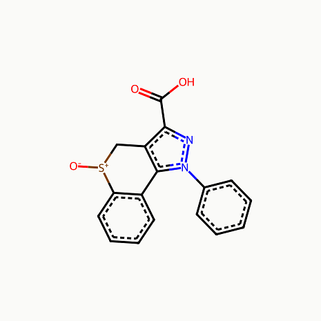 O=C(O)c1nn(-c2ccccc2)c2c1C[S+]([O-])c1ccccc1-2